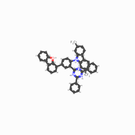 FC(F)(F)c1ccc2c3ccc(C(F)(F)F)cc3n(-c3ccc(-c4cccc5c4oc4ccccc45)cc3-c3nc(-c4ccccc4)nc(-c4ccccc4)n3)c2c1